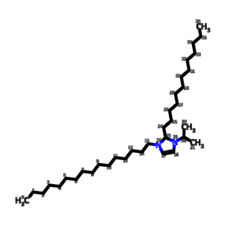 CCCCCCCCCCCCCCCCN1C=CN(C(C)C)C1CCCCCCCCCCCCC